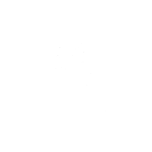 [CH]=Cc1cc2c(cc1CCCCCC)C(C)(C)CCC2(C)C